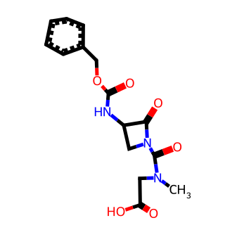 CN(CC(=O)O)C(=O)N1CC(NC(=O)OCc2ccccc2)C1=O